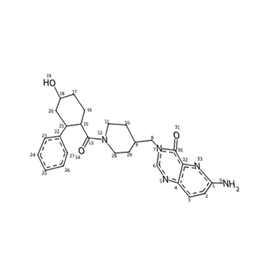 Nc1ccc2ncn(CC3CCN(C(=O)C4CCC(O)CC4c4ccccc4)CC3)c(=O)c2n1